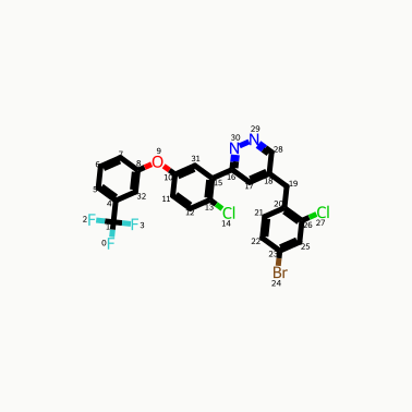 FC(F)(F)c1cccc(Oc2ccc(Cl)c(-c3[c]c(Cc4ccc(Br)cc4Cl)cnn3)c2)c1